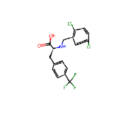 O=C(O)[C@H](Cc1ccc(C(F)(F)F)cc1)NCc1cc(Cl)ccc1Cl